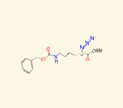 COC(=O)[C@H](CCCCNC(=O)OCc1ccccc1)N=[N+]=[N-]